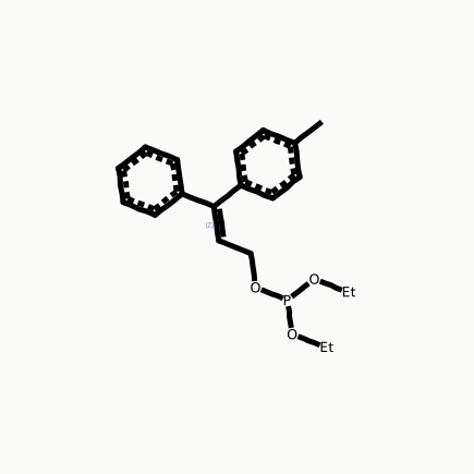 CCOP(OCC)OC/C=C(/c1ccccc1)c1ccc(C)cc1